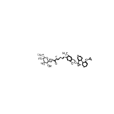 Cc1cc(COC2(c3cnccc3-c3ccccc3OC3CC3)CC2)c(Cl)cc1CCCCNC(=O)NC[C@@H]1O[C@H](C(=O)O)[C@@H](O)[C@H](O)[C@H]1O